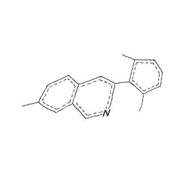 Cc1ccc2cc(-c3c(C)cccc3C)ncc2c1